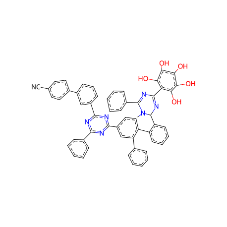 CN1C(c2ccccc2)=NC(c2c(O)c(O)c(O)c(O)c2O)=NC1c1ccccc1-c1ccc(-c2nc(-c3ccccc3)nc(-c3cccc(-c4ccc(C#N)cc4)c3)n2)cc1-c1ccccc1